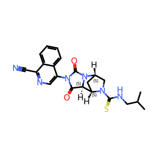 CC(C)CNC(=S)N1C[C@@H]2C[C@H]1[C@H]1C(=O)N(c3cnc(C#N)c4ccccc34)C(=O)N21